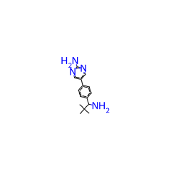 CC(C)(C)C(N)c1ccc(-c2cnc(N)nc2)cc1